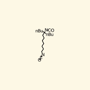 CCCCC(CCCC)(CCCCCCCN=C=O)N=C=O